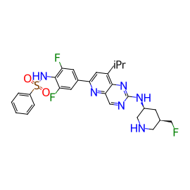 CC(C)c1cc(-c2cc(F)c(NS(=O)(=O)c3ccccc3)c(F)c2)nc2cnc(N[C@@H]3CNC[C@H](CF)C3)nc12